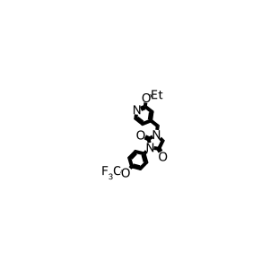 CCOc1cc(CN2CC(=O)N(c3ccc(OC(F)(F)F)cc3)C2=O)ccn1